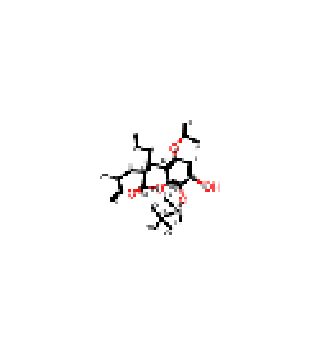 C=C[C@@H](C)Cc1c(CCC)c2c(OC(C)C)cc(O)c(O[Si](C)(C)C(C)(C)C)c2oc1=O